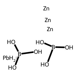 OB(O)O.OB(O)O.[PbH2].[Zn].[Zn].[Zn]